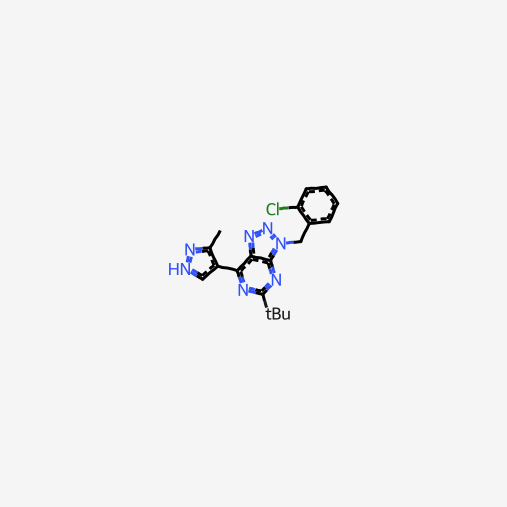 Cc1n[nH]cc1-c1nc(C(C)(C)C)nc2c1nnn2Cc1ccccc1Cl